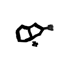 CCC1=Cc2ccccc2[CH]1.[Zr]